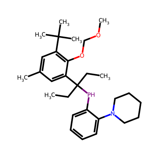 CCC(CC)(Pc1ccccc1N1CCCCC1)c1cc(C)cc(C(C)(C)C)c1OCOC